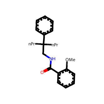 CCCC(CCC)(CNC(=O)c1ccccc1OC)c1ccccc1